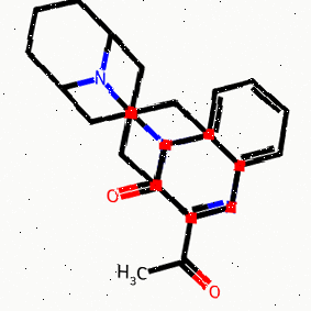 CC(=O)c1nc2ccccc2n(C2CC3CCCC(C2)N3C2CC3CCCC(C3)C2)c1=O